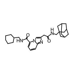 O=C(Cc1cn2c(C(=O)NCC3CCCCC3)cccc2n1)NCC12CC3CC(CC(C3)C1)C2